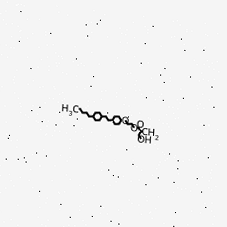 C=C(CO)C(=O)OCCOC1CCC(CCC2CCC(CCCCC)CC2)CC1